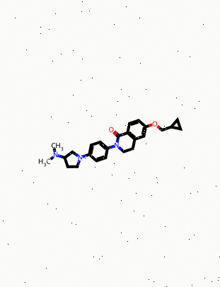 CN(C)C1CCN(c2ccc(N3CCc4cc(OCC5CC5)ccc4C3=O)cc2)C1